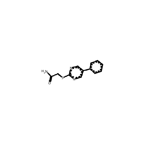 NC(=O)CSc1ncc(-c2ccccc2)cn1